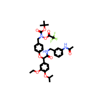 CCOc1cc(C(Oc2ccc(CN(OC(=O)C(F)(F)F)C(=O)OC(C)(C)C)cc2)C(=O)NCc2cccc(NC(C)=O)c2)ccc1OC(C)C